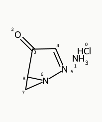 Cl.N.O=C1C=NN2CC12